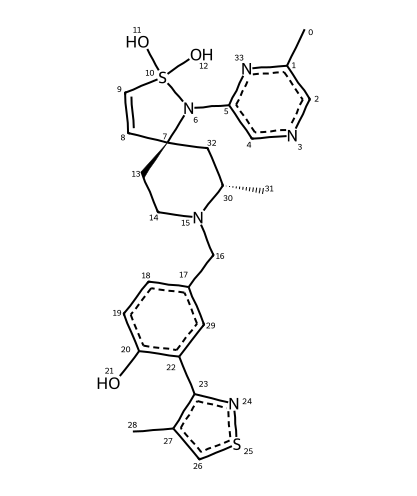 Cc1cncc(N2[C@]3(C=CS2(O)O)CCN(Cc2ccc(O)c(-c4nscc4C)c2)[C@@H](C)C3)n1